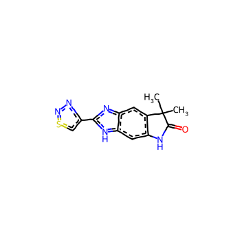 CC1(C)C(=O)Nc2cc3[nH]c(-c4csnn4)nc3cc21